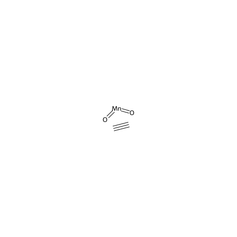 C#C.[O]=[Mn]=[O]